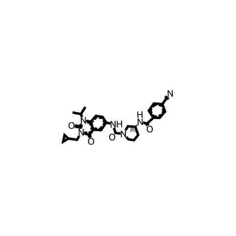 CC(C)n1c(=O)n(CC2CC2)c(=O)c2cc(NC(=O)N3CCC[C@@H](NC(=O)c4ccc(C#N)cc4)C3)ccc21